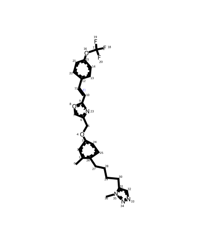 Cc1cc(OCc2coc(/C=C/c3ccc(OC(F)(F)F)cc3)n2)ccc1CCCCc1cnnn1C